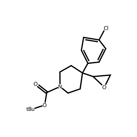 CC(C)(C)OC(=O)N1CCC(c2ccc(Cl)cc2)(C2CO2)CC1